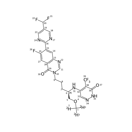 [2H]C([2H])([2H])OC[C@@H](CCCn1cnc2cc(-c3ncc(C(F)F)cn3)c(F)cc2c1=O)Nc1cn[nH]c(=O)c1C(F)(F)F